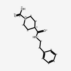 O=C(NCCc1ccccc1)C1CCN(C(=O)O)CC1